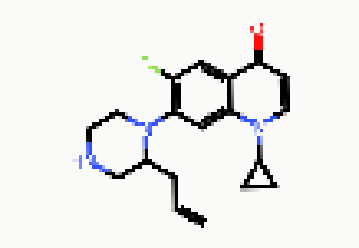 C=CCC1CNCCN1c1cc2c(cc1F)c(=O)ccn2C1CC1